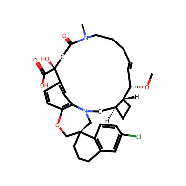 CO[C@H]1/C=C/CCCN(C)C(=O)C[C@@](O)(C(=O)O)c2ccc3c(c2)N(C[C@@H]2CC[C@H]21)C[C@@]1(CCCc2cc(Cl)ccc21)CO3